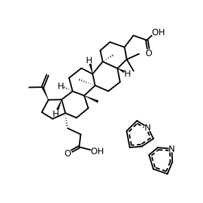 C=C(C)[C@@H]1CC[C@]2(CCC(=O)O)CC[C@]3(C)[C@H](CC[C@@H]4[C@@]5(C)CCC(CC(=O)O)C(C)(C)[C@@H]5CC[C@]43C)[C@@H]12.c1ccncc1.c1ccncc1